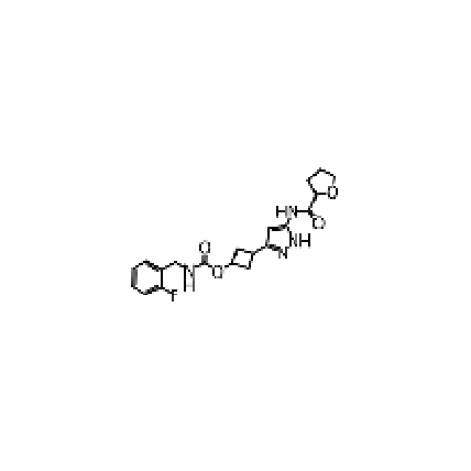 O=C(NCc1ccccc1F)OC1CC(c2cc(NC(=O)C3CCCO3)[nH]n2)C1